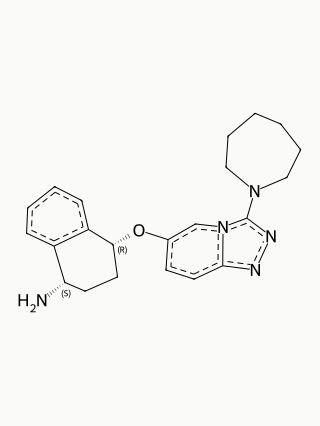 N[C@H]1CC[C@@H](Oc2ccc3nnc(N4CCCCCC4)n3c2)c2ccccc21